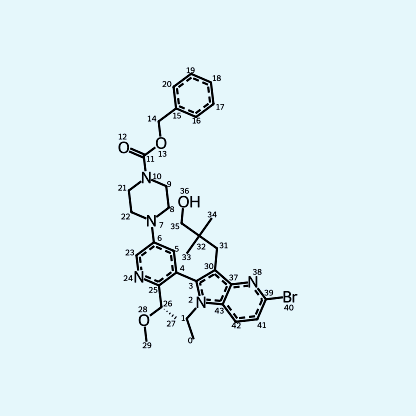 CCn1c(-c2cc(N3CCN(C(=O)OCc4ccccc4)CC3)cnc2[C@H](C)OC)c(CC(C)(C)CO)c2nc(Br)ccc21